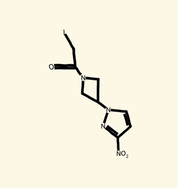 O=C(CI)N1CC(n2ccc([N+](=O)[O-])n2)C1